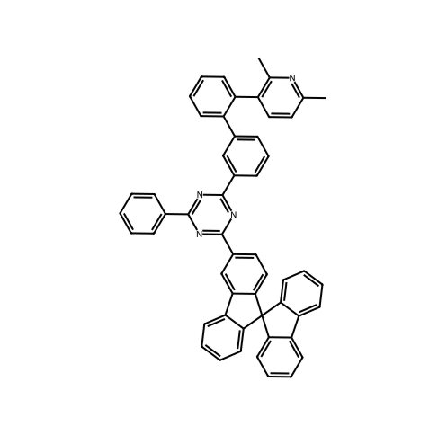 Cc1ccc(-c2ccccc2-c2cccc(-c3nc(-c4ccccc4)nc(-c4ccc5c(c4)-c4ccccc4C54c5ccccc5-c5ccccc54)n3)c2)c(C)n1